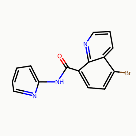 O=C(Nc1ccccn1)c1ccc(Br)c2cccnc12